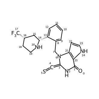 O=C1NC(=C=S)N(Cc2ccccc2[C@H]2C[C@@H](C(F)(F)F)CCN2)c2cc[nH]c21